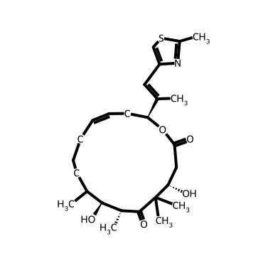 C/C(=C\c1csc(C)n1)[C@@H]1C/C=C\CCCC(C)[C@H](O)[C@@H](C)C(=O)C(C)(C)[C@@H](O)CC(=O)O1